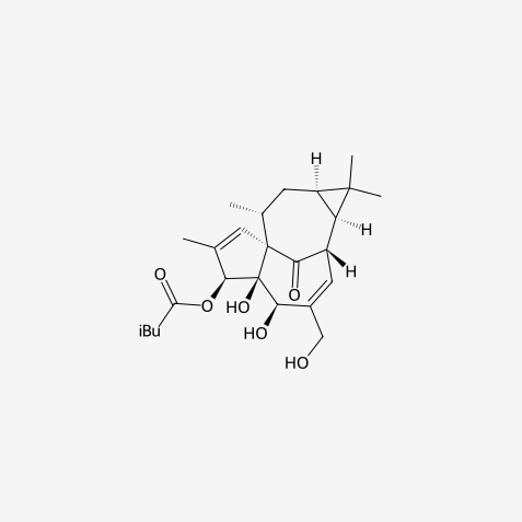 CCC(C)C(=O)O[C@H]1C(C)=C[C@]23C(=O)[C@@H](C=C(CO)[C@@H](O)[C@]12O)[C@H]1[C@@H](C[C@H]3C)C1(C)C